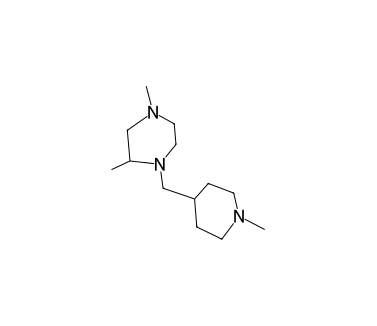 CC1CN(C)CCN1CC1CCN(C)CC1